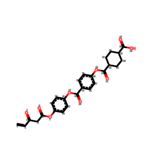 C=CC(=O)CC(=O)Oc1ccc(OC(=O)c2ccc(OC(=O)C3CCC(C(=O)O)CC3)cc2)cc1